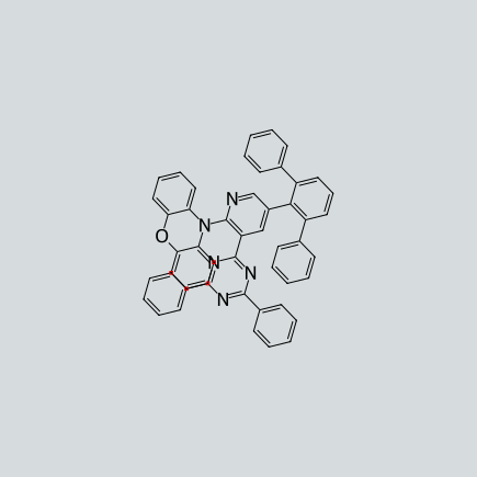 c1ccc(-c2nc(-c3ccccc3)nc(-c3cc(-c4c(-c5ccccc5)cccc4-c4ccccc4)cnc3N3c4ccccc4Oc4ccccc43)n2)cc1